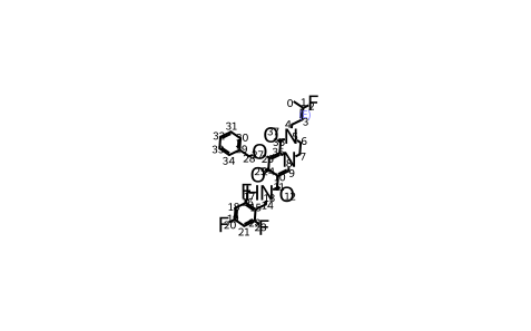 C/C(F)=C\CN1CCn2cc(C(=O)NCc3c(F)cc(F)cc3F)c(=O)c(OCc3ccccc3)c2C1=O